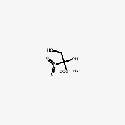 O=C([O-])C(O)(CO)P(=O)=O.[Na+]